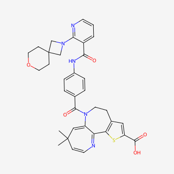 CC1(C)C=CN=C2C(=C1)N(C(=O)c1ccc(NC(=O)c3cccnc3N3CC4(CCOCC4)C3)cc1)CCc1cc(C(=O)O)sc12